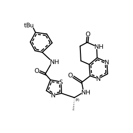 C[C@@H](NC(=O)c1ncnc2c1CCC(=O)N2)c1ncc(C(=O)Nc2ccc(C(C)(C)C)cc2)s1